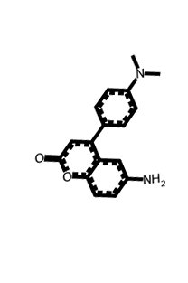 CN(C)c1ccc(-c2cc(=O)oc3ccc(N)cc23)cc1